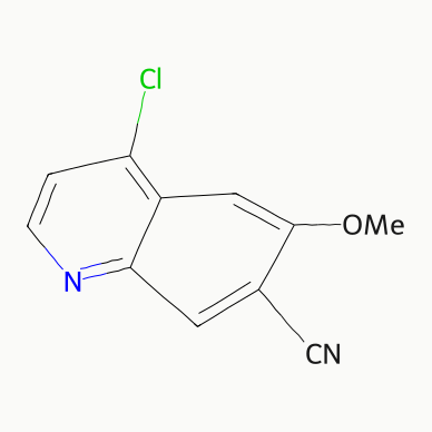 COc1cc2c(Cl)ccnc2cc1C#N